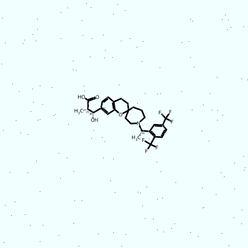 C[C@H](C(=O)O)[C@@H](O)c1ccc2c(c1)OC1(CCCN([C@@H](C)c3cc(C(F)(F)F)ccc3C(F)(F)F)CC1)CC2